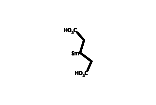 O=C(O)CCCC(=O)O.[Sm]